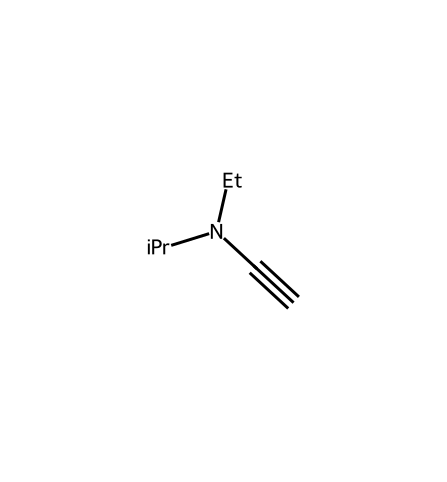 C#CN(CC)C(C)C